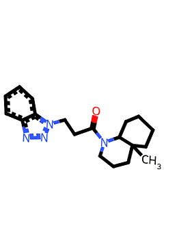 CC12CCCCC1N(C(=O)CCn1nnc3ccccc31)CCC2